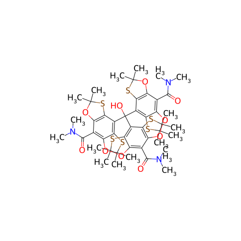 CN(C)C(=O)c1c2c(c(C(O)(c3c4c(c(C(=O)N(C)C)c5c3SC(C)(C)O5)OC(C)(C)S4)c3c4c(c(C(=O)N(C)C)c5c3SC(C)(C)O5)OC(C)(C)S4)c3c1OC(C)(C)S3)SC(C)(C)O2